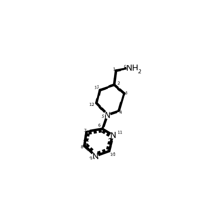 NCC1CCN(c2ccncn2)CC1